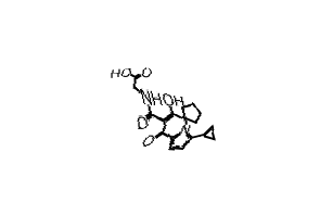 O=C(O)CNC(=O)C1=C(O)C2(CCCC2)n2c(ccc2C2CC2)C1=O